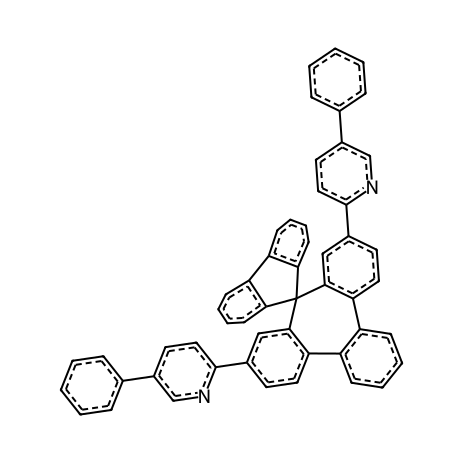 c1ccc(-c2ccc(-c3ccc4c(c3)C3(c5cc(-c6ccc(-c7ccccc7)cn6)ccc5-c5ccccc5-4)c4ccccc4-c4ccccc43)nc2)cc1